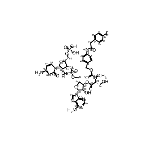 CN(C(=O)OCc1ccc(NC(=O)Cc2ccc(F)cc2)cc1)[C@H](CO)C(=O)O[C@H]1[C@@H](O)[C@H](n2cnc3c(N)ncnc32)O[C@@H]1COP(=O)(O)O[C@H]1[C@@H](O)[C@H](n2ccc(N)nc2=O)O[C@@H]1COP(=O)(O)O